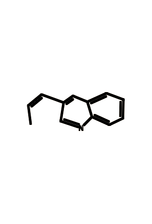 C/C=C\c1cnc2ccccc2c1